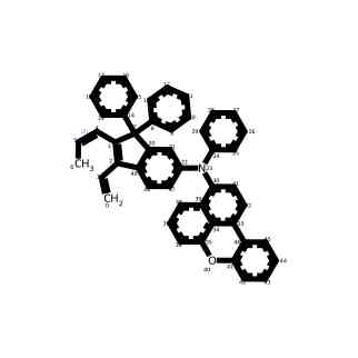 C=CC1=C(/C=C\C)C(c2ccccc2)(c2ccccc2)c2cc(N(c3ccccc3)c3ccc4c5c(cccc35)Oc3ccccc3-4)ccc21